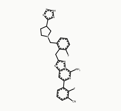 N#Cc1cccc(-c2cc3nc(Cc4c(F)cccc4CN4CCC(c5nn[nH]n5)C4)nn3c(N)n2)c1F